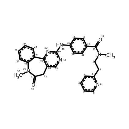 CN(CCc1ccccn1)C(=O)c1ccc(Nc2ncc3c(n2)-c2ccccc2N(C)C(=O)C3)cc1